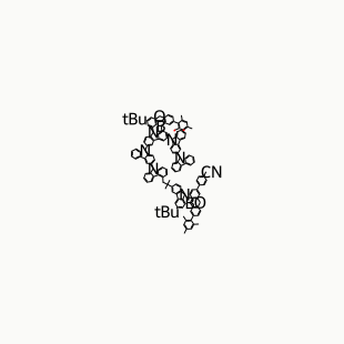 Cc1cc(C)c(-c2ccc3c(c2)B2c4c(cc(C(C)(C)C)cc4-n4c5ccc(-n6c7ccccc7c7cc(-n8c9ccccc9c9c(CC(C)(C)c%10ccc%11c(c%10)c%10cc(C(C)(C)C)cc%12c%10n%11-c%10cc(-c%11ccc(C#N)cc%11)cc%11c%10B%12c%10cc(-c%12c(C)cc(C)cc%12C)ccc%10O%11)cccc98)ccc76)cc5c5cc(-n6c7ccccc7c7cc(-n8c9ccccc9c9ccccc98)ccc76)cc2c54)O3)c(C)c1